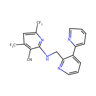 N#Cc1c(C(F)(F)F)cc(C(F)(F)F)nc1NCc1ncccc1-c1ccccn1